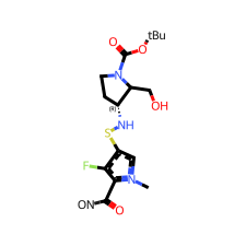 Cn1cc(SN[C@@H]2CCN(C(=O)OC(C)(C)C)C2CO)c(F)c1C(=O)N=O